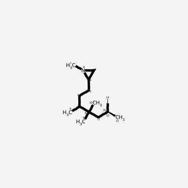 CC(CCC1CN1C)C(C)(C)C[C@H](C)I